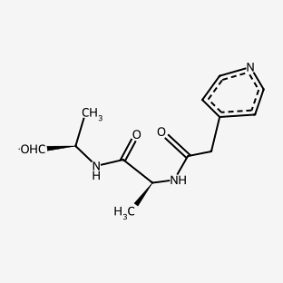 C[C@H]([C]=O)NC(=O)[C@H](C)NC(=O)Cc1ccncc1